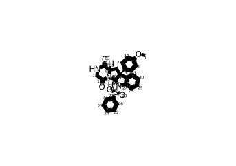 COc1ccc([C@]23C[C@H]4C(=O)NCC(=O)N4[C@H]2N(S(=O)(=O)c2ccccc2)c2ccccc23)cc1